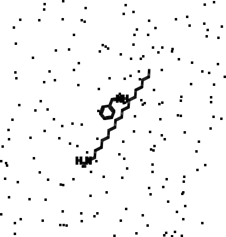 CCCCCCCCCCCCCCCCCCN.N=Cc1ccccc1